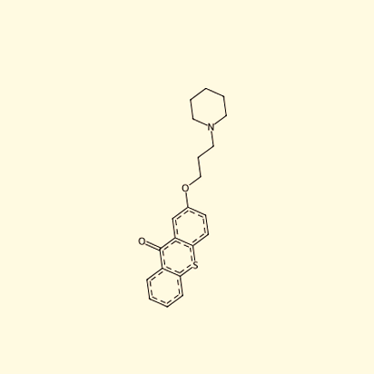 O=c1c2ccccc2sc2ccc(OCCCN3CCCCC3)cc12